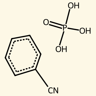 N#Cc1ccccc1.O=P(O)(O)O